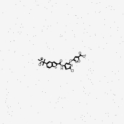 COC(=O)c1cc(Oc2cc(NC(=O)c3cc4cc(C(C)(C)S(C)(=O)=O)ccc4s3)cc(Cl)n2)no1